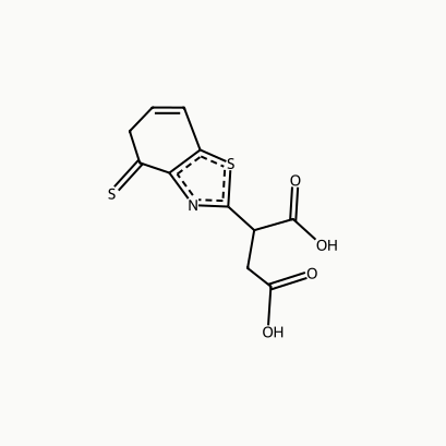 O=C(O)CC(C(=O)O)c1nc2c(s1)C=CCC2=S